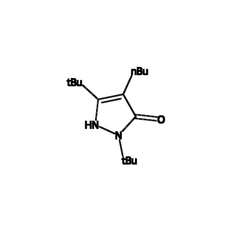 CCCCc1c(C(C)(C)C)[nH]n(C(C)(C)C)c1=O